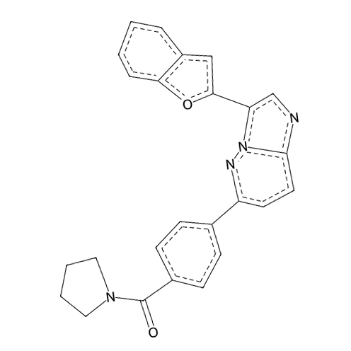 O=C(c1ccc(-c2ccc3ncc(-c4cc5ccccc5o4)n3n2)cc1)N1CCCC1